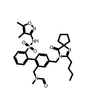 CCCCC1=NC2(CCCC2)C(=O)N1Cc1ccc(-c2ccccc2S(=O)(=O)Nc2noc(C)c2C)c(CN(C)C=O)c1